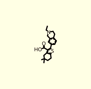 CCN1CCc2ccc(-c3sc4c(c3C(=O)O)CC(C)(C)CC4)cc2C1